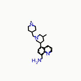 CC1CC(c2ccc(CN)c3ncccc23)CN(CC2CCN(C)CC2)C1